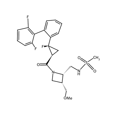 COC[C@@H]1CN(C(=O)[C@@H]2C[C@@]2(F)c2ccccc2-c2c(F)cccc2F)[C@@H]1CNS(C)(=O)=O